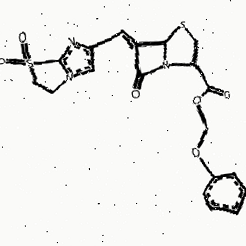 O=C(OCOc1ccccc1)C1CSC2C(=Cc3cn4c(n3)S(=O)(=O)CC4)C(=O)N12